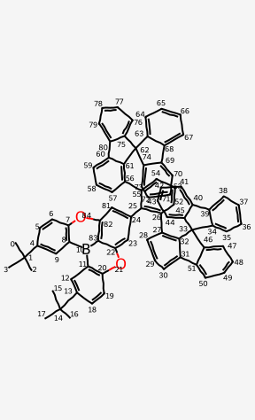 CC(C)(C)c1ccc2c(c1)B1c3cc(C(C)(C)C)ccc3Oc3cc(-c4c(-c5cccc6c5C5(c7ccccc7-c7ccccc75)c5ccccc5-6)cccc4-c4cccc5c4C4(c6ccccc6-c6ccccc64)c4ccccc4-5)cc(c31)O2